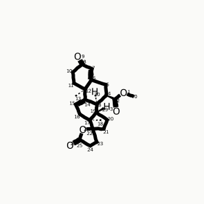 COC(=O)[C@@H]1CC2=CC(=O)CC[C@]2(C)C2=CC[C@@]3(C)[C@@H](CCC34CCC(=O)O4)[C@@H]21